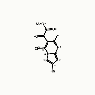 COC(=O)C(=O)c1c(C)nc2cc(Br)nn2c1Cl